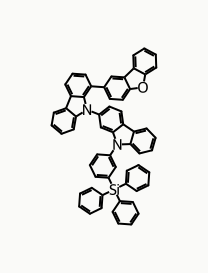 c1ccc([Si](c2ccccc2)(c2ccccc2)c2cccc(-n3c4ccccc4c4ccc(-n5c6ccccc6c6cccc(-c7ccc8oc9ccccc9c8c7)c65)cc43)c2)cc1